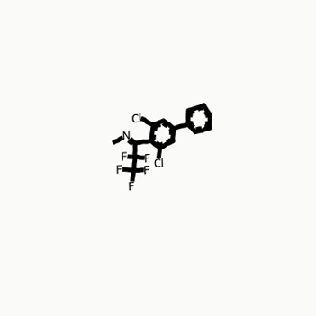 C/N=C(/c1c(Cl)cc(-c2ccccc2)cc1Cl)C(F)(F)C(F)(F)F